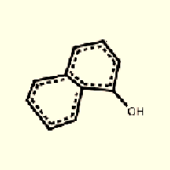 Oc1c[c]cc2ccccc12